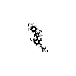 CC(C)(C)C(=O)NCc1ccc(Cl)c(-c2nn(-c3ccc(C(F)(F)F)c(F)c3)c(=O)[nH]2)c1F